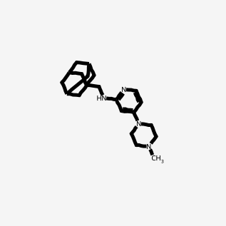 CN1CCN(c2ccnc(NCC34CC5CC(CC(C5)C3)C4)c2)CC1